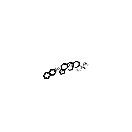 C[C@]12CC=C3C=C4CC[C@@H]([N+](C)(C)[O-])C[C@]45CC[C@]3(O5)[C@@H]1CC[C@@H]2c1ccc2ccccc2c1